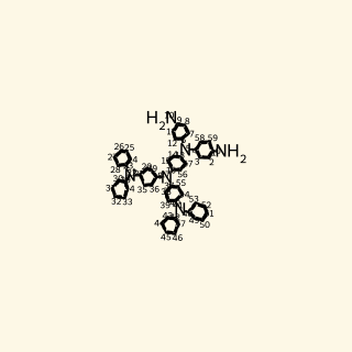 Nc1ccc(N(c2ccc(N)cc2)c2ccc(N(c3ccc(N(c4ccccc4)c4ccccc4)cc3)c3ccc(N(c4ccccc4)c4ccccc4)cc3)cc2)cc1